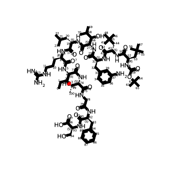 CC[C@H](C)[C@H](NC(=O)[C@@H](CCCNC(=N)N)NC(=O)[C@H](CC(C)C)NC(=O)[C@@H](NC(=O)[C@H](Cc1cccc(N)c1)NC(=O)[C@H](CC(C)(C)C)NC(=O)[C@@H](CC(C)(C)C)NC(=O)OC(C)(C)C)C(O)C(C)C)C(=O)N[C@H](C(=O)NCC(=O)N[C@@H](Cc1ccccc1)C(=O)N[C@@H](CO)C(=O)O)[C@H](C)O